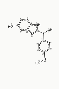 Oc1ccc2[nH]c(C(O)c3ccc(OC(F)(F)F)cc3)nc2c1